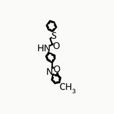 Cc1ccc2nc(-c3ccc(NC(=O)CSc4ccccc4)cc3)oc2c1